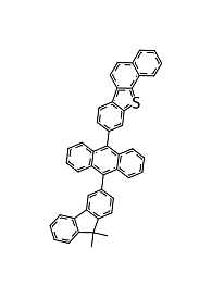 CC1(C)c2ccccc2-c2cc(-c3c4ccccc4c(-c4ccc5c(c4)sc4c6ccccc6ccc54)c4ccccc34)ccc21